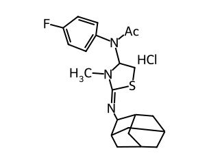 CC(=O)N(c1ccc(F)cc1)C1CSC(=NC2C3CC4CC(C3)CC2C4)N1C.Cl